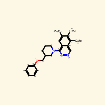 COc1cc2c(N3CCCC(COc4ccccc4)C3)nncc2c(OC)c1OC